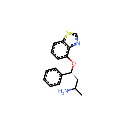 CC(N)C[C@@H](Oc1cccc2scnc12)c1ccccc1